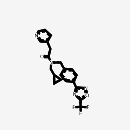 O=C(Cc1cccnc1)N(Cc1ccc(-c2noc(C(F)(F)F)n2)cc1)CC1CC1